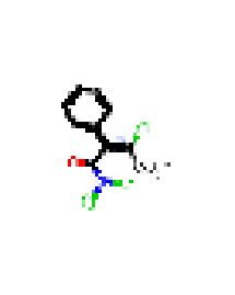 O=C(O)/C(Cl)=C(\C(=O)N(Cl)Cl)c1ccccc1